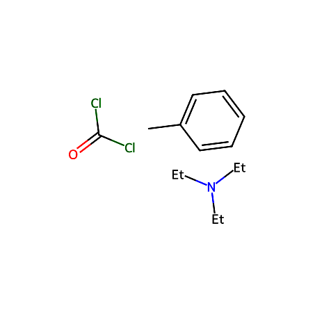 CCN(CC)CC.Cc1ccccc1.O=C(Cl)Cl